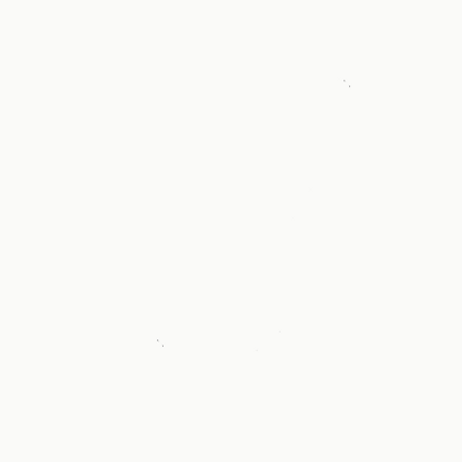 N#Cc1ccc(-c2ccc(C3CC3CCN3CCCC3)cc2)cc1